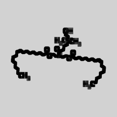 CCCCC/C=C\C/C=C\CCCCCCCC(=O)OCCN(CCOC(=O)CCCCCCC/C=C\C/C=C\CCCCC)C(=O)CCC[N+](C)(C)CCO